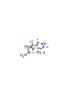 COC(=O)C1=C(C)NC(C)=CC1(C(=O)O)c1ccc([N+](=O)[O-])s1